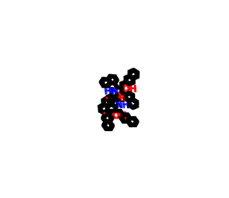 O=C(N[C@@H](c1cccc2ccccc12)C(O)(Cc1ccc2ccccc2c1)Cc1ccc2ccccc2c1)C1(C(=O)N[C@@H](c2cccc3ccccc23)C(O)(Cc2ccc3ccccc3c2)Cc2ccc3ccccc3c2)CCCC1